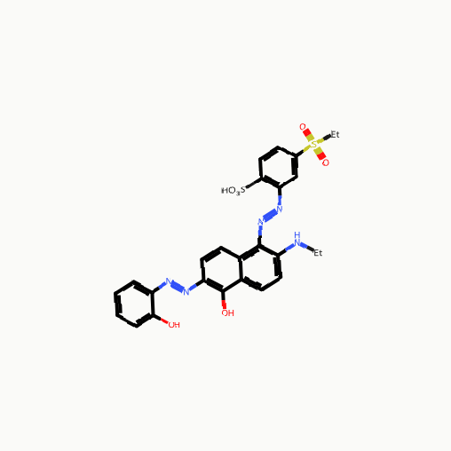 CCNc1ccc2c(O)c(/N=N/c3ccccc3O)ccc2c1/N=N/c1cc(S(=O)(=O)CC)ccc1S(=O)(=O)O